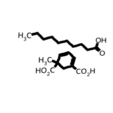 CC1(C(=O)O)C=CC=C(C(=O)O)C1.CCCCCCCCCC(=O)O